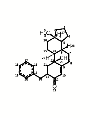 C[C@@]12CCC[C@H]1[C@@H]1CCC3=CC(=O)C(Cc4ccccc4)C[C@]3(C)[C@H]1CC2